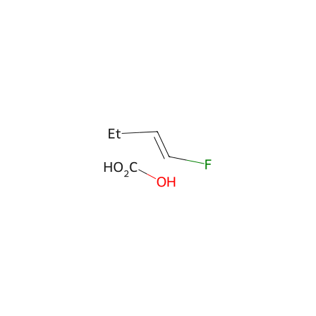 CCC=CF.O=C(O)O